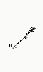 CCCCCCCCCCCCNCCCNCCCNCC(=O)O